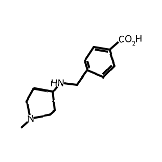 CN1CCC(NCc2ccc(C(=O)O)cc2)CC1